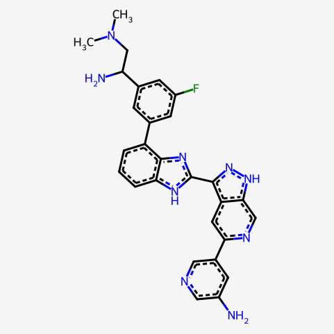 CN(C)CC(N)c1cc(F)cc(-c2cccc3[nH]c(-c4n[nH]c5cnc(-c6cncc(N)c6)cc45)nc23)c1